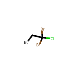 [CH2]CCC(Cl)(Br)Br